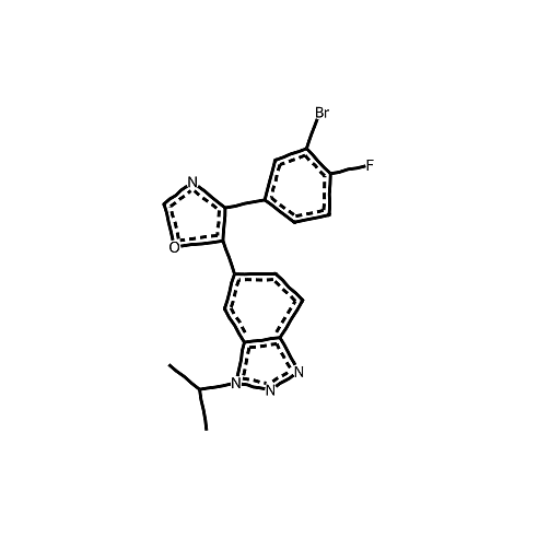 CC(C)n1nnc2ccc(-c3ocnc3-c3ccc(F)c(Br)c3)cc21